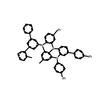 Cc1cc2c3c(c1)N(c1ccc(C(C)C)cc1)c1cc(-c4ccc(C(C)C)cc4)ccc1B3c1cc(C(C)C)ccc1N2c1cc(-c2ccccc2)cc(-c2ccccc2C)c1